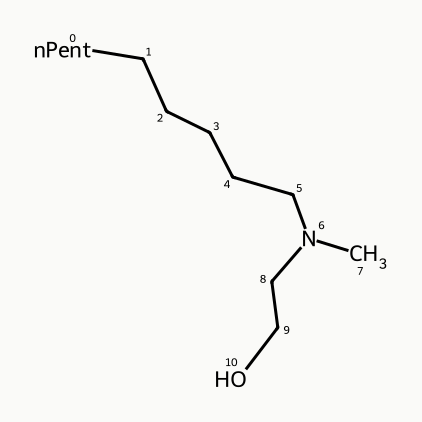 CCCCCCCCCCN(C)CCO